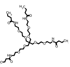 CCCC(=O)NCCOCCOCC(COCCOCCNC(=O)CCC)(COCCOCCNC(=O)CCC)COCCOCCNC(=O)CCC